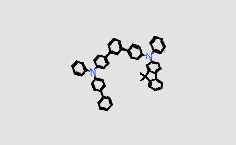 CC1(C)c2ccccc2-c2ccc(N(c3ccccc3)c3ccc(-c4cccc(-c5ccc(N(c6ccccc6)c6ccc(-c7ccccc7)cc6)cc5)c4)cc3)cc21